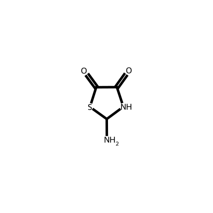 NC1NC(=O)C(=O)S1